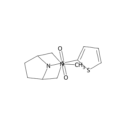 CN1CC2CCC(C1)N2S(=O)(=O)c1cccs1